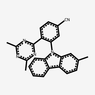 Cc1ccc2c3ccccc3n(-c3cc(C#N)ccc3-c3nc(C)nc(C)n3)c2c1